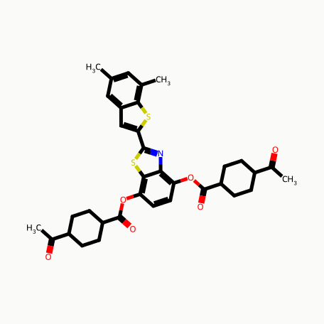 CC(=O)C1CCC(C(=O)Oc2ccc(OC(=O)C3CCC(C(C)=O)CC3)c3sc(-c4cc5cc(C)cc(C)c5s4)nc23)CC1